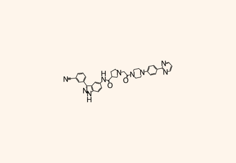 N#Cc1cccc(-c2n[nH]c3ccc(NC(=O)C4CCN(CC(=O)N5CCN(c6ccc(-c7ncccn7)cc6)CC5)C4)cc23)c1